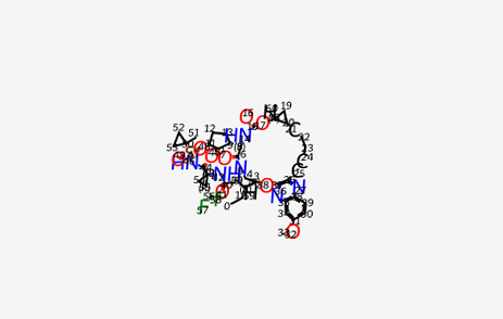 CC[C@@H]1[C@@H]2CN(C(=O)[C@H](C3CCCC3)NC(=O)O[C@@H]3CC3CCCCCc3nc4ccc(OC)cc4nc3O2)[C@@H]1C(=O)N[C@]1(C(=O)NS(=O)(=O)C2(C)CC2)C[C@H]1C(F)F